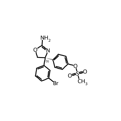 CS(=O)(=O)Oc1ccc([C@]2(c3cccc(Br)c3)COC(N)=N2)cc1